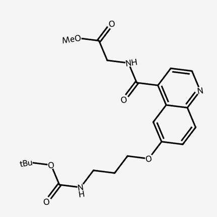 COC(=O)CNC(=O)c1ccnc2ccc(OCCCNC(=O)OC(C)(C)C)cc12